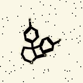 O=C1OCCCC1(c1ccc(F)cc1)c1ccc(F)cc1